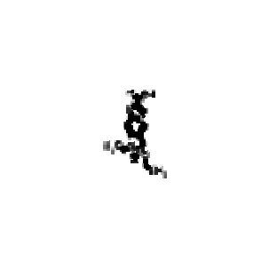 CCOP(=O)(Cc1ccc2nc(C(=O)O)cn2c1)OCC